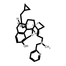 CN(C/C=C1\CC[C@]12CC[C@@]1(O)[C@H]3Cc4ccc(O)c5c4[C@@]1(CCN3CC1CC1)[C@H]2O5)Cc1ccccn1